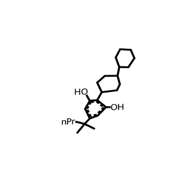 CCCC(C)(C)c1cc(O)c(C2CCC(C3CCCCC3)CC2)c(O)c1